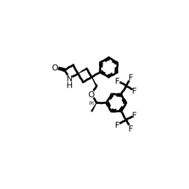 C[C@@H](OC[C@]1(c2ccccc2)C[C@@]2(CC(=O)N2)C1)c1cc(C(F)(F)F)cc(C(F)(F)F)c1